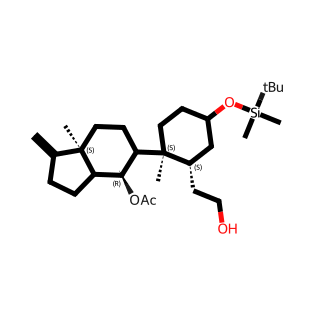 C=C1CCC2[C@H](OC(C)=O)C([C@@]3(C)CCC(O[Si](C)(C)C(C)(C)C)C[C@@H]3CCO)CC[C@]12C